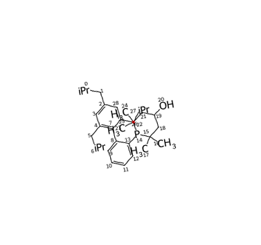 CC(C)Cc1cc(CC(C)C)c(-c2ccccc2P2C(C)(C)CC(O)CC2(C)C)c(CC(C)C)c1